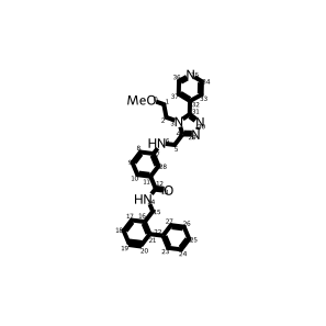 COCCn1c(CNc2cccc(C(=O)NCc3ccc#cc3-c3ccccc3)c2)nnc1-c1ccncc1